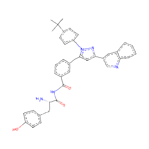 CC(C)(C)c1ccc(-n2nc(-c3cnc4ccccc4c3)cc2-c2cccc(C(=O)NC(=O)[C@@H](N)Cc3ccc(O)cc3)c2)cc1